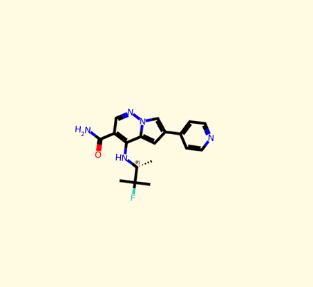 C[C@@H](Nc1c(C(N)=O)cnn2cc(-c3ccncc3)cc12)C(C)(C)F